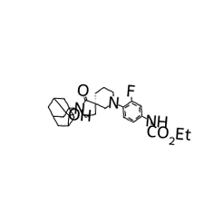 CCOC(=O)Nc1ccc(N2CCC[C@@]3(CCN(C45CC6CC(C4)C(O)C(C6)C5)C3=O)C2)c(F)c1